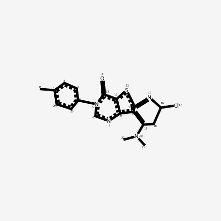 Cc1ccc(-n2cnc3c4c(sc3c2=O)=NC(Cl)CC=4N(C)C)cc1